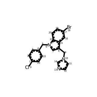 Clc1ccc(Cn2cc(Cn3ccnc3)c3cc(Br)ccc32)cc1